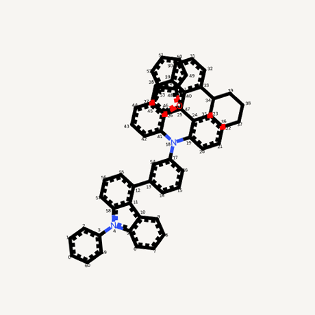 c1ccc(-n2c3ccccc3c3c(-c4cccc(N(c5ccccc5-c5cccc6cccc(C7CCCCC7)c56)c5cccc6c5oc5ccccc56)c4)cccc32)cc1